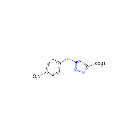 O=C(O)c1cn(Cc2ccc([N+](=O)[O-])cc2)nn1